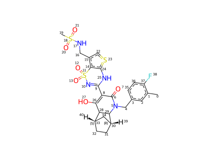 Cc1cc(CN2C(=O)C(C3=NS(=O)(=O)c4c(CNS(C)(=O)=O)csc4N3)=C(O)C3C2[C@@H]2CC[C@H]3C2)ccc1F